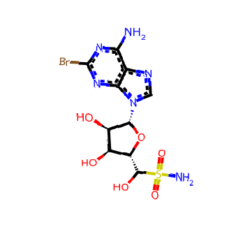 Nc1nc(Br)nc2c1ncn2[C@@H]1O[C@H](C(O)S(N)(=O)=O)[C@@H](O)[C@H]1O